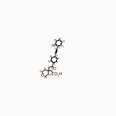 O=C(O)CC1(CC(=O)c2ccc(C#Cc3ccccc3F)cc2)CCOCC1